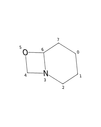 C1CCN2COC2C1